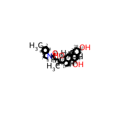 Cc1ccc2c(c1)CCN2C(=O)CC[C@@H](C)[C@H]1CC[C@H]2[C@@H]3[C@H](O)C[C@@H]4C[C@H](O)CC[C@]4(C)[C@H]3C[C@H](O)[C@]12C